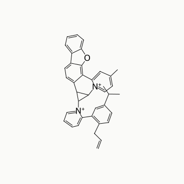 C=CCc1ccc(C(C)C)cc1-c1cccc[n+]1C1C2c3ccc4c(oc5ccccc54)c3-c3cc(C)cc[n+]3C21